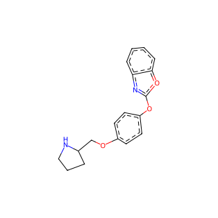 c1ccc2oc(Oc3ccc(OCC4CCCN4)cc3)nc2c1